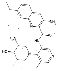 CCc1ccc2cc(N)c(C(=O)Nc3cncc(C)c3N3C[C@@H](N)[C@H](O)[C@@H](C)C3)nc2c1